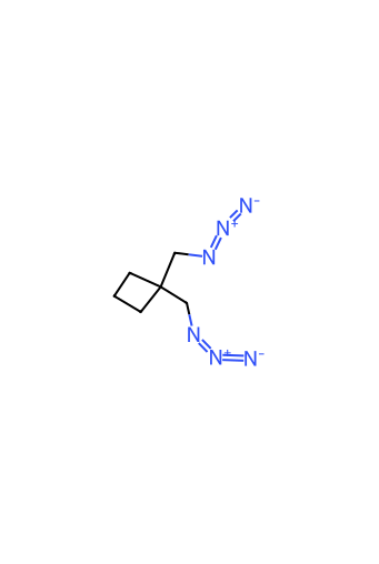 [N-]=[N+]=NCC1(CN=[N+]=[N-])CCC1